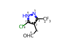 O=CCc1c(C(F)(F)F)n[nH]c1Cl